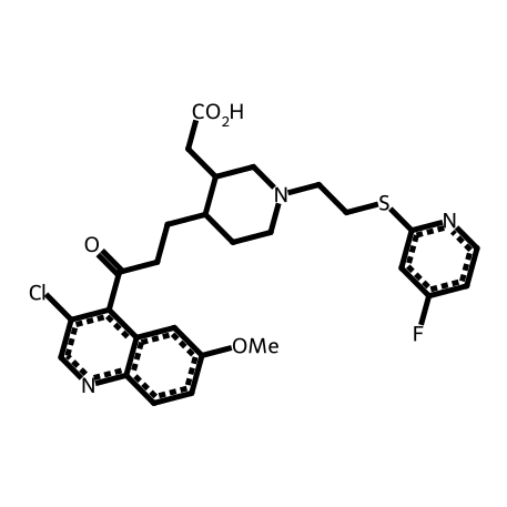 COc1ccc2ncc(Cl)c(C(=O)CCC3CCN(CCSc4cc(F)ccn4)CC3CC(=O)O)c2c1